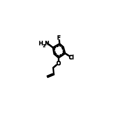 C=CCOc1cc(N)c(F)cc1Cl